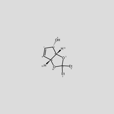 CCC1(CC)O[C@H]2[C@@H](O)C=C[C@H]2O1